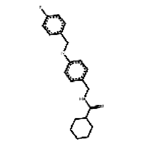 O=C(NCc1ccc(NCc2ccc(F)cc2)cc1)C1CCCCC1